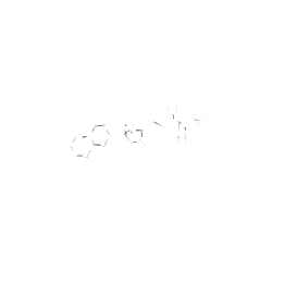 O=CNC(=O)C=Cc1nc(-c2ccc3ccccc3c2)cs1